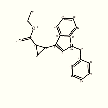 CCOC(=O)C1CC1c1cn(Cc2ccccc2)c2ccccc12